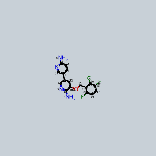 Nc1ccc(-c2cnc(N)c(OCc3c(F)ccc(F)c3Cl)c2)cn1